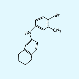 Cc1cc(Nc2ccc3c(c2)CCCC3)ccc1C(C)C